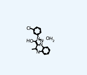 CC1=Nc2ccccc2N2[N]N(c3cccc(Cl)c3)C(O)=C12.O